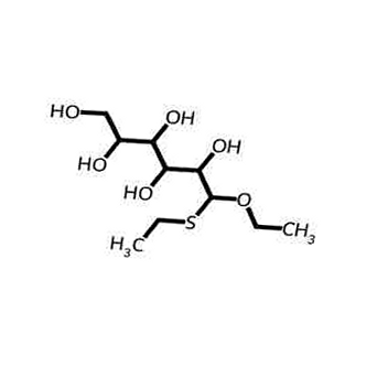 CCOC(SCC)C(O)C(O)C(O)C(O)CO